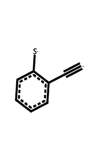 [C]#Cc1ccccc1[S]